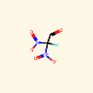 O=CC(F)([N+](=O)[O-])[N+](=O)[O-]